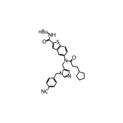 CCCCNC(=O)c1cc2cc(N(Cc3cncn3Cc3ccc(C#N)cc3)C(=O)CCC3CCCC3)ccc2s1